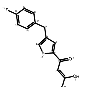 O=C(O)C(O)=CC(=O)c1cc(Cc2ccc(F)cc2)cs1